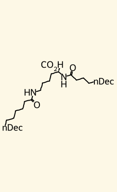 CCCCCCCCCCCCCCCC(=O)NCCCC[C@H](NC(=O)CCCCCCCCCCCCC)C(=O)O